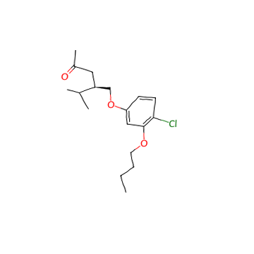 CCCCOc1cc(OC[C@H](CC(C)=O)C(C)C)ccc1Cl